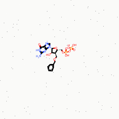 Nc1nc2c(ncn2[C@@H]2O[C@H](COP(=O)(O)OP(=O)(O)O)[C@@H](COCc3ccccc3)[C@H]2O)c(=O)[nH]1